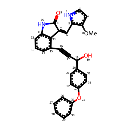 COc1cc[nH]c1/C=C1\C(=O)Nc2cccc(C#CC(O)c3ccc(Oc4ccccc4)cc3)c21